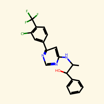 CC(Nc1cc(-c2ccc(C(F)(F)F)c(Cl)c2)ncn1)C(O)c1ccccc1